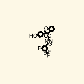 O=C1c2ccccc2OCC1(OCc1noc(-c2cc(F)cc(C(F)(F)F)c2)n1)c1ccc(O)cc1